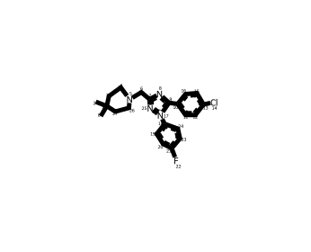 CC1(C)CCN(Cc2nc(-c3ccc(Cl)cc3)n(-c3ccc(F)cc3)n2)CC1